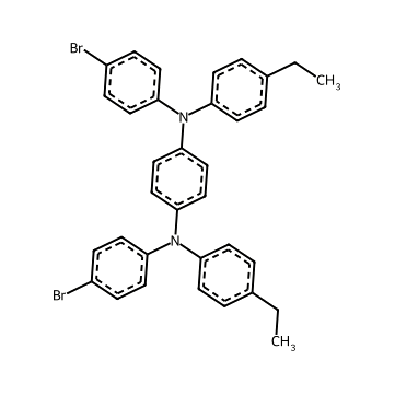 CCc1ccc(N(c2ccc(Br)cc2)c2ccc(N(c3ccc(Br)cc3)c3ccc(CC)cc3)cc2)cc1